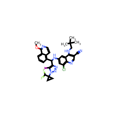 COc1nccc2c(C(Nc3cc(Cl)c4ncc(C#N)c(NCC(C)(C)C)c4c3)c3nnn(C4(C(F)F)CC4)c3I)cccc12